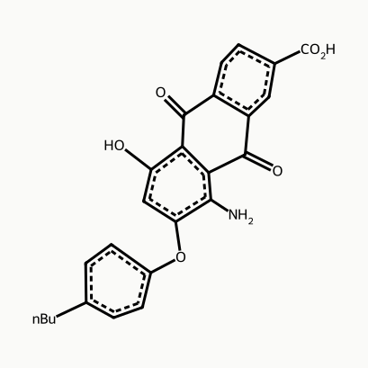 CCCCc1ccc(Oc2cc(O)c3c(c2N)C(=O)c2cc(C(=O)O)ccc2C3=O)cc1